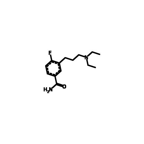 CCN(CC)CCCc1cc(C(N)=O)ccc1F